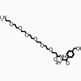 CC(C)[C@H](NC(=O)CCOCCOCCOCCOCCOCCOCCN)C(=O)c1ccc(CO)cc1